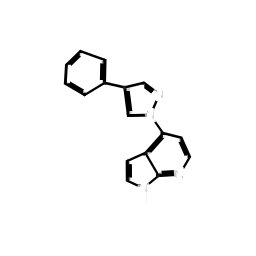 [c]1ccccc1-c1cnn(-c2ccnc3[nH]ccc23)c1